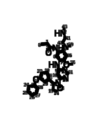 C=CC(=O)Nc1cc(Nc2cc(N3OCCC3c3cccc(Oc4ccccc4)c3)ncn2)c(OC)cc1N(C)CCNC